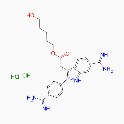 Cl.Cl.N=C(N)c1ccc(-c2[nH]c3cc(C(=N)N)ccc3c2CC(=O)OCCCCCO)cc1